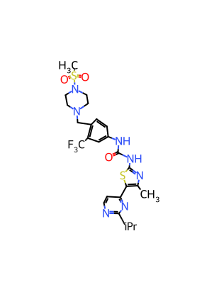 Cc1nc(NC(=O)Nc2ccc(CN3CCN(S(C)(=O)=O)CC3)c(C(F)(F)F)c2)sc1-c1ccnc(C(C)C)n1